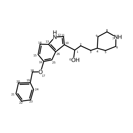 OC(CCC1CCNCC1)c1c[nH]c2ccc(OCc3ccccc3)cc12